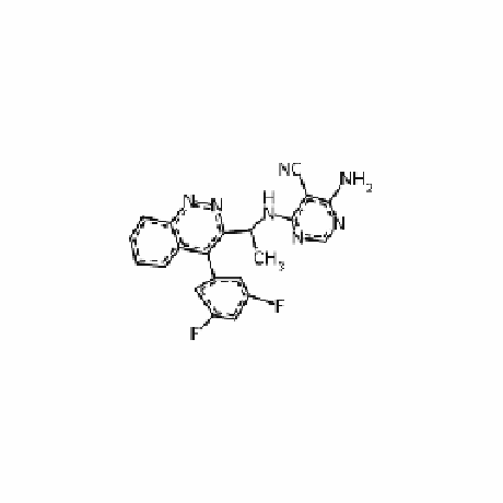 C[C@H](Nc1ncnc(N)c1C#N)c1nnc2ccccc2c1-c1cc(F)cc(F)c1